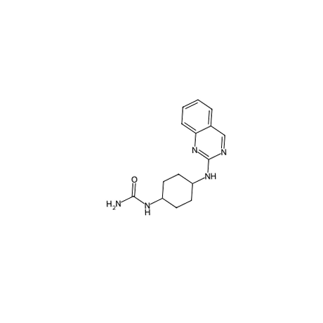 NC(=O)NC1CCC(Nc2ncc3ccccc3n2)CC1